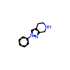 c1ccc(-n2cc3c(n2)CNCC3)cc1